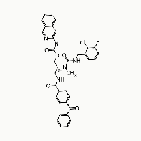 CN(C(=O)NCc1cccc(F)c1Cl)[C@@H](CNC(=O)c1ccc(C(=O)c2ccccc2)cc1)COC(=O)Nc1cc2ccccc2cn1